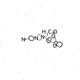 CC(=O)OCc1c(-c2ccc(CN3CCN(c4ccc(C#N)cc4)CC3)o2)oc2ccccc12